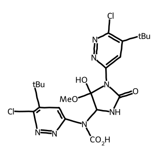 COC1(O)C(N(C(=O)O)c2cc(C(C)(C)C)c(Cl)nn2)NC(=O)N1c1cc(C(C)(C)C)c(Cl)nn1